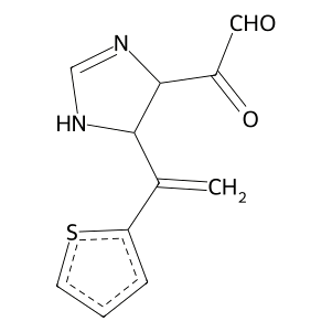 C=C(c1cccs1)C1NC=NC1C(=O)C=O